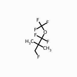 CC(C)(CF)C(F)(F)OC(F)(F)F